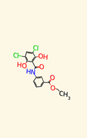 CCOC(=O)c1cccc(NC(=O)c2c(O)c(Cl)cc(Cl)c2O)c1